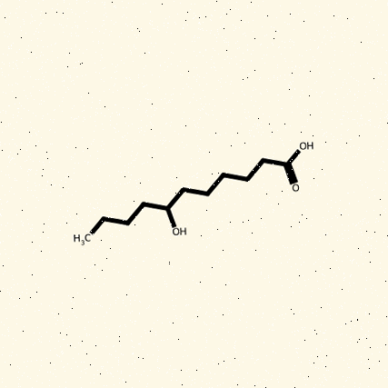 CCCCC(O)CCCCCC(=O)O